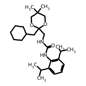 CC(C)c1cccc(C(C)C)c1NC(=O)NCC1(CC2CCCCC2)OCC(C)(C)CO1